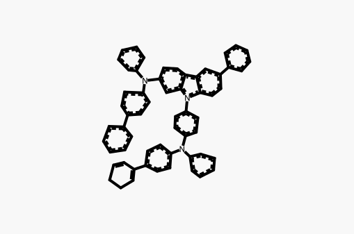 C1=CC(c2ccc(N(c3ccccc3)c3ccc(-n4c5ccc(-c6ccccc6)cc5c5ccc(N(c6ccccc6)c6ccc(-c7ccccc7)cc6)cc54)cc3)cc2)=CCC1